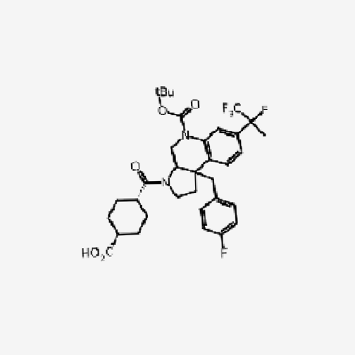 CC(C)(C)OC(=O)N1CC2N(C(=O)[C@H]3CC[C@H](C(=O)O)CC3)CCC2(Cc2ccc(F)cc2)c2ccc(C(C)(F)C(F)(F)F)cc21